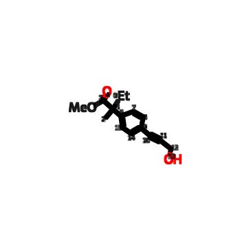 CCC(C)(C(=O)OC)c1ccc(C#CCO)cc1